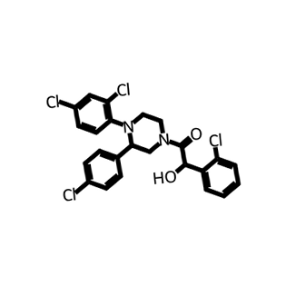 O=C(C(O)c1ccccc1Cl)N1CCN(c2ccc(Cl)cc2Cl)C(c2ccc(Cl)cc2)C1